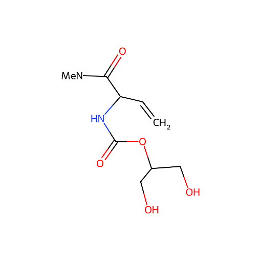 C=CC(NC(=O)OC(CO)CO)C(=O)NC